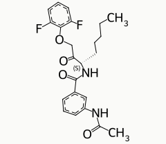 CCCCC[C@H](NC(=O)c1cccc(NC(C)=O)c1)C(=O)COc1c(F)cccc1F